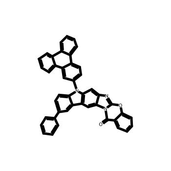 O=c1c2ccccc2oc2nc3cc4c(cc3n12)c1cc(-c2ccccc2)ccc1n4-c1ccc2c3ccccc3c3ccccc3c2c1